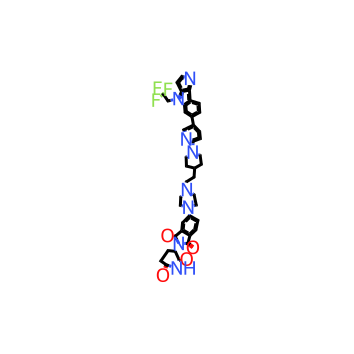 O=C1CCC(N2C(=O)c3ccc(N4CCN(CCC5CCN(c6ccc(-c7ccc8c9cnccc9n(CC(F)(F)F)c8c7)cn6)CC5)CC4)cc3C2=O)C(=O)N1